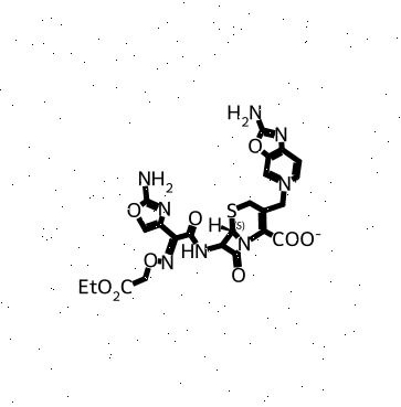 CCOC(=O)CON=C(C(=O)NC1C(=O)N2C(C(=O)[O-])=C(C[n+]3ccc4nc(N)oc4c3)CS[C@@H]12)c1coc(N)n1